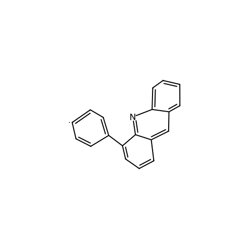 [c]1ccc(-c2cccc3cc4ccccc4nc23)cc1